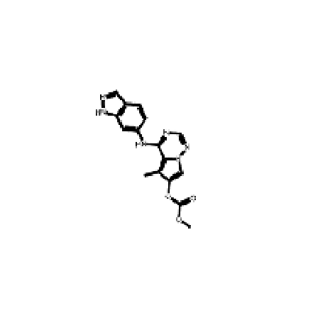 COC(=O)Oc1cn2ncnc(Nc3ccc4cn[nH]c4c3)c2c1C